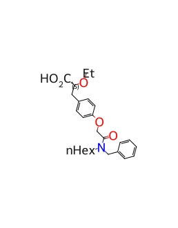 CCCCCCN(Cc1ccccc1)C(=O)COc1ccc(C[C@H](OCC)C(=O)O)cc1